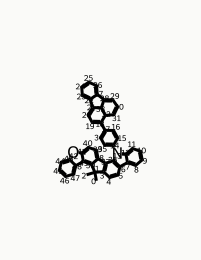 CC1(C)c2ccc3c4ccccc4n(-c4ccc(C5=CC=C6c7ccccc7C7=CC=CC5C76)cc4)c3c2-c2ccc3oc4ccccc4c3c21